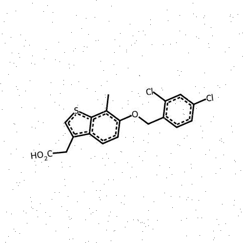 Cc1c(OCc2ccc(Cl)cc2Cl)ccc2c(CC(=O)O)csc12